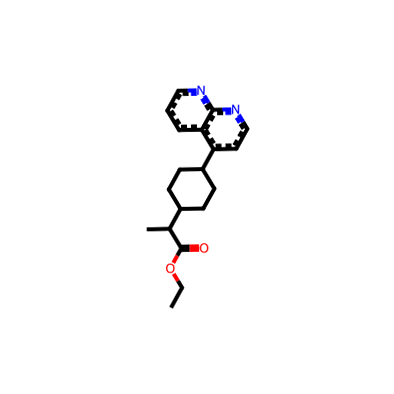 CCOC(=O)C(C)C1CCC(c2ccnc3ncccc23)CC1